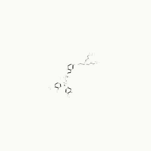 N#Cc1ccc(OP(=O)(CNS(=O)(=O)c2cc3cc(OCCCN(CCCN)CCCN)ccc3s2)Oc2ccc(C#N)c(F)c2)cc1F